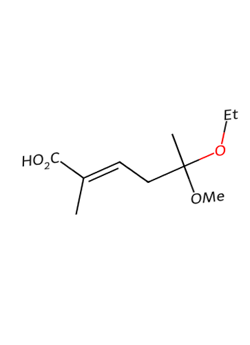 CCOC(C)(CC=C(C)C(=O)O)OC